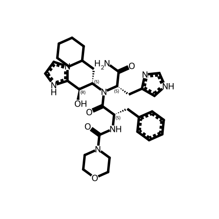 NC(=O)[C@H](Cc1c[nH]cn1)N(C(=O)[C@H](Cc1ccccc1)NC(=O)N1CCOCC1)[C@@H](CC1CCCCC1)[C@@H](O)c1ncc[nH]1